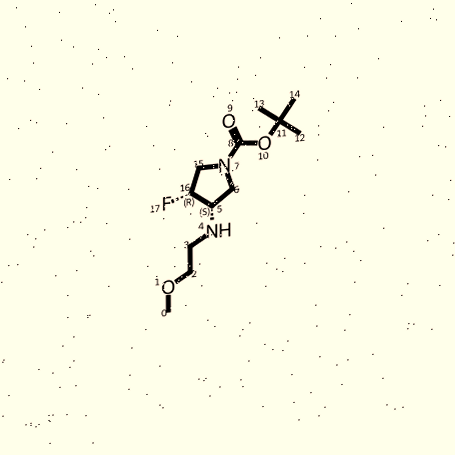 COCCN[C@H]1CN(C(=O)OC(C)(C)C)C[C@H]1F